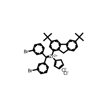 CC(C)(C)c1ccc2c(c1)-c1cc(C(C)(C)C)c[c]([Zr+2]([C]3=CC=CC3)=[C](c3cccc(Br)c3)c3cccc(Br)c3)c1C2.[Cl-].[Cl-]